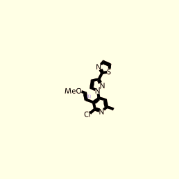 CO/C=C/c1c(-n2ccc(-c3nccs3)n2)cc(C)nc1Cl